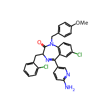 COc1ccc(CN2C(=O)C(Cc3ccccc3Cl)N=C(c3ccc(N)nc3)c3cc(Cl)ccc32)cc1